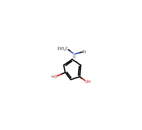 CCNC(=O)OCC.Oc1cccc(O)c1